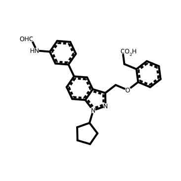 O=CNc1cccc(-c2ccc3c(c2)c(COc2ccccc2CC(=O)O)nn3C2CCCC2)c1